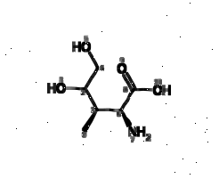 C[C@@H](C(O)CO)[C@H](N)C(=O)O